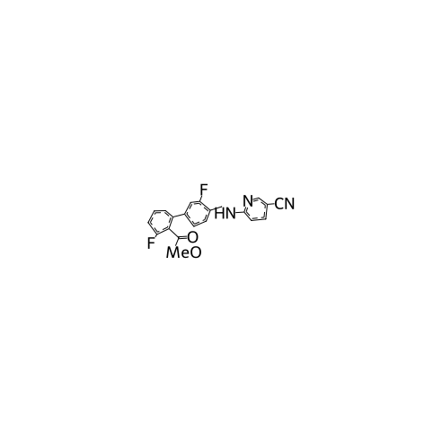 COC(=O)c1c(F)cccc1-c1ccc(CNc2ccc(C#N)cn2)c(F)c1